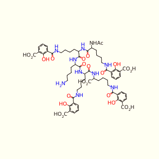 CC(=O)NC(CCCCNC(=O)c1cccc(C(=O)O)c1O)C(=O)NC(CCCCNC(=O)c1cccc(C(=O)O)c1O)C(=O)NC(CCCCN)C(=O)NC(CCCCNC(=O)c1cccc(C(=O)O)c1O)C(=O)NC(CCCCNC(=O)c1cccc(C(=O)O)c1O)C(=O)O